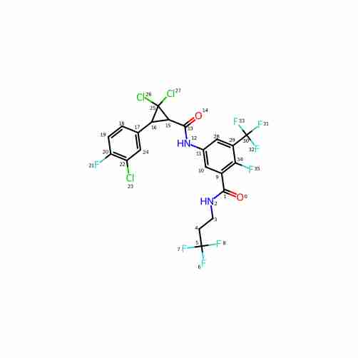 O=C(NCCC(F)(F)F)c1cc(NC(=O)C2C(c3ccc(F)c(Cl)c3)C2(Cl)Cl)cc(C(F)(F)F)c1F